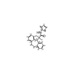 CC(C)(C(=O)Nc1nccs1)C1c2ccccc2CCc2ccccc21